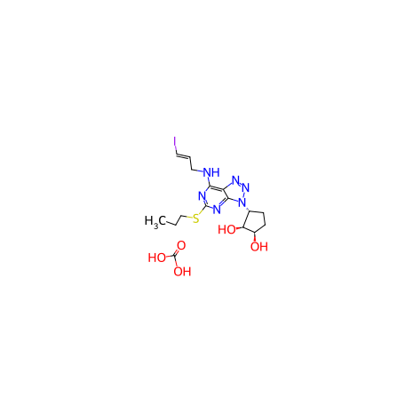 CCCSc1nc(NC/C=C/I)c2nnn([C@@H]3CC[C@@H](O)[C@H]3O)c2n1.O=C(O)O